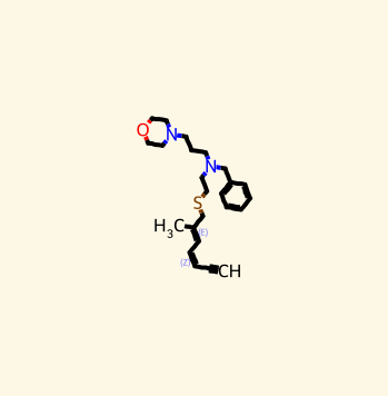 C#C/C=C\C=C(/C)CSCCN(CCCN1CCOCC1)Cc1ccccc1